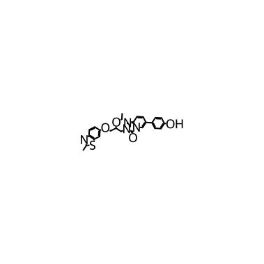 CCOC(COc1ccc2nc(C)sc2c1)Cn1nc2ccc(-c3ccc(O)cc3)cn2c1=O